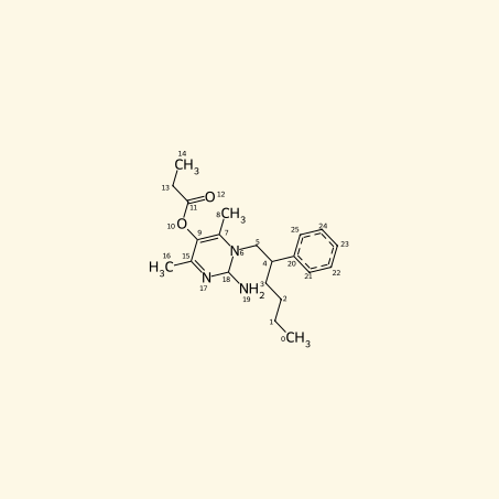 CCCCC(CN1C(C)=C(OC(=O)CC)C(C)=NC1N)c1ccccc1